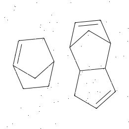 C1=C2CCC(C1)C2.C1=CC2C3C=CC(C3)C2C1